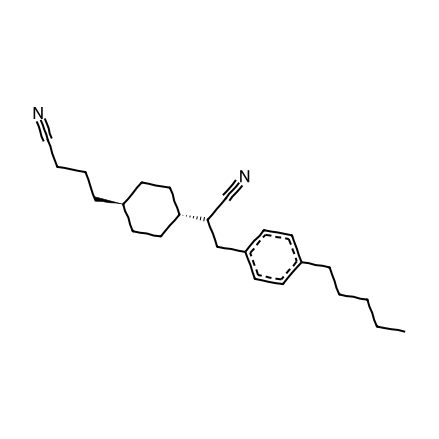 CCCCCc1ccc(CC(C#N)[C@H]2CC[C@H](CCCC#N)CC2)cc1